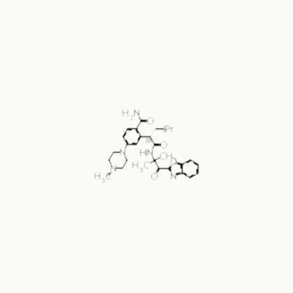 CC(C)C[C@H](C(=O)NC(C)(C)C(=O)c1nc2ccccc2o1)c1cc(N2CCN(C)CC2)ccc1C(N)=O